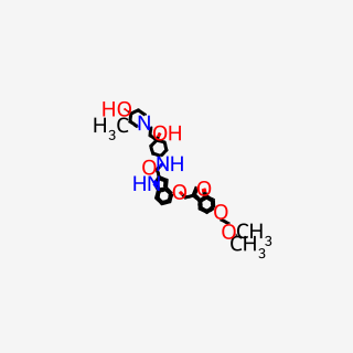 CC(C)OCCOc1ccc2c(COc3cccc4[nH]c(C(=O)NC5CCC(O)(CCN6CC[C@H](O)[C@@H](C)C6)CC5)cc34)coc2c1